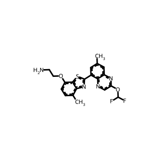 Cc1cc(-c2nc3c(C)ccc(OCCN)c3s2)c2ncc(OC(F)F)nc2c1